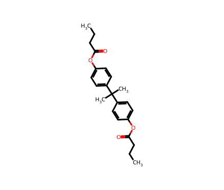 CCCC(=O)Oc1ccc(C(C)(C)c2ccc(OC(=O)CCC)cc2)cc1